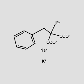 CC(C)C(Cc1ccccc1)(C(=O)[O-])C(=O)[O-].[K+].[Na+]